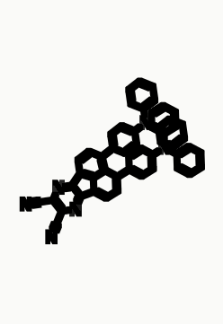 N#Cc1nc2c(nc1C#N)-c1ccc(-c3ccc(N(c4ccccc4)c4ccccc4)cc3)c3c(-c4ccc(N(c5ccccc5)c5ccccc5)cc4)ccc-2c13